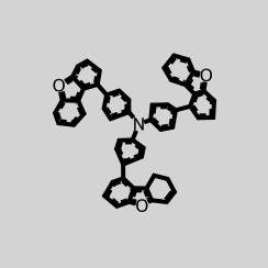 C1=Cc2oc3cccc(-c4ccc(N(c5ccc(-c6cccc7oc8ccccc8c67)cc5)c5ccc(-c6cccc7oc8ccccc8c67)cc5)cc4)c3c2CC1